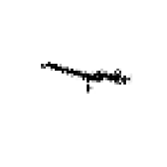 CCCCCCCCCCCCCCCCNc1ccc(/C=C/C=C/C(=O)O)cc1